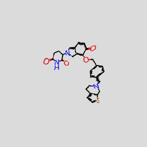 O=C1CCC(N2C=C3C=CC(=O)C(OCc4ccc(CN5CCc6ccsc6C5)cc4)=C3C2)C(=O)N1